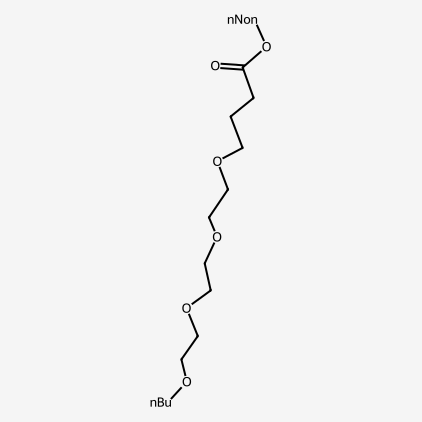 CCCCCCCCCOC(=O)CCCOCCOCCOCCOCCCC